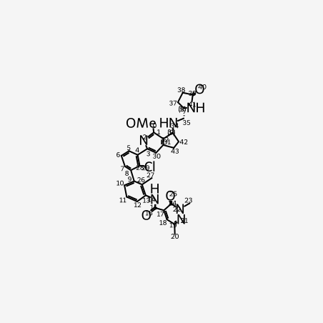 COc1nc(-c2cccc(-c3cccc(NC(=O)c4cc(C)nn(C)c4=O)c3C)c2Cl)cc2c1[C@@H](NC[C@@H]1CCC(=O)N1)CC2